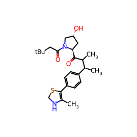 CC1=C(c2ccc([C@H](C)C(C)C(=O)[C@@H]3C[C@@H](O)CN3C(=O)CC(C)(C)C)cc2)SCN1